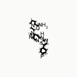 NC(=O)C1CCCN1CCn1cnc2cnc(Nc3ncc(-c4ccc(F)cc4)s3)cc21